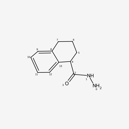 NNC(=O)C1CCCc2ccccc21